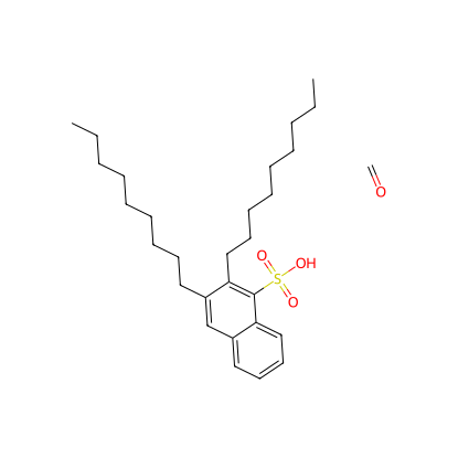 C=O.CCCCCCCCCc1cc2ccccc2c(S(=O)(=O)O)c1CCCCCCCCC